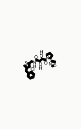 O=C(NCc1cc(Cc2ccccc2Cl)cs1)C(O)[C@@H](O)C(=O)N1CCC[C@@H]1c1cscn1